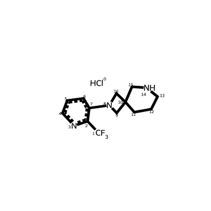 Cl.FC(F)(F)c1ncccc1N1CC2(CCCNC2)C1